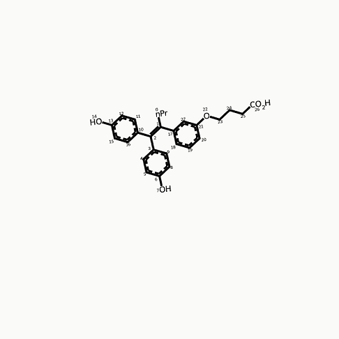 CCCC(=C(c1ccc(O)cc1)c1ccc(O)cc1)c1cccc(OCCCC(=O)O)c1